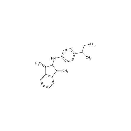 C=C1c2ccccc2C(=C)C1Nc1ccc(C(C)CC)cc1